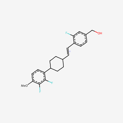 COc1ccc(C2CCC(/C=C/c3ccc(CO)cc3F)CC2)c(F)c1F